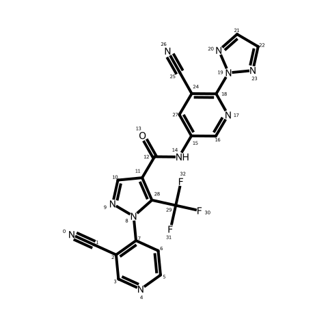 N#Cc1cnccc1-n1ncc(C(=O)Nc2cnc(-n3nccn3)c(C#N)c2)c1C(F)(F)F